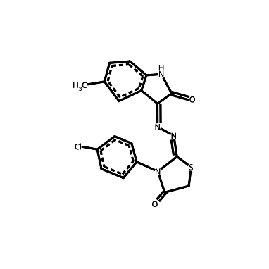 Cc1ccc2c(c1)C(=NN=C1SCC(=O)N1c1ccc(Cl)cc1)C(=O)N2